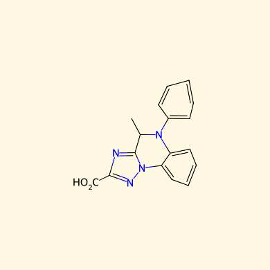 CC1c2nc(C(=O)O)nn2-c2ccccc2N1c1ccccc1